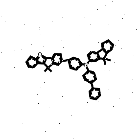 CC1(C)c2ccccc2-c2ccc(N(c3ccc(-c4ccccc4)cc3)c3ccc(-c4ccc5c(c4)C(C)(C)c4c-5oc5ccccc45)cc3)cc21